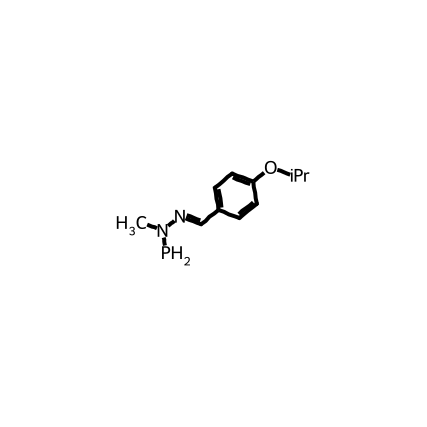 CC(C)Oc1ccc(/C=N/N(C)P)cc1